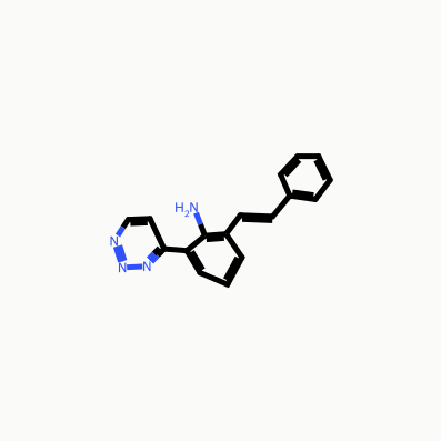 Nc1c(C=Cc2ccccc2)cccc1-c1ccnnn1